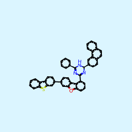 c1ccc(C2=NC(c3cccc4oc5cc(-c6ccc7c(c6)sc6ccccc67)ccc5c34)=NC(c3ccc4ccc5ccccc5c4c3)N2)cc1